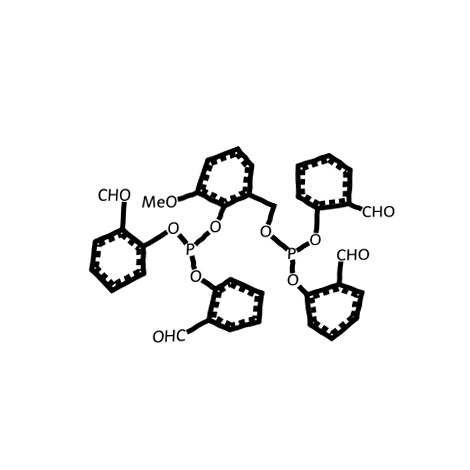 COc1cccc(COP(Oc2ccccc2C=O)Oc2ccccc2C=O)c1OP(Oc1ccccc1C=O)Oc1ccccc1C=O